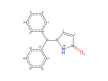 O=C1C=CC(C(c2ccccc2)c2ccccc2)N1